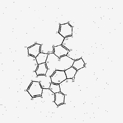 C1=CC2c3c(cccc3-c3nc(-c4ccccc4)nc(-n4c5ccccc5c5ccccc54)n3)OC2c2c1n(-c1ccccc1)c1ccccc21